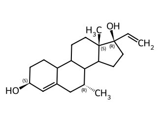 C=C[C@]1(O)CCC2C3C(CC[C@@]21C)C1CC[C@H](O)C=C1C[C@H]3C